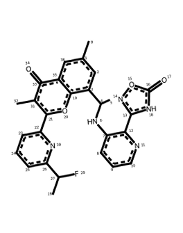 Cc1cc(C(C)Nc2cccnc2-c2noc(=O)[nH]2)c2oc(-c3cccc(C(C)F)n3)c(C)c(=O)c2c1